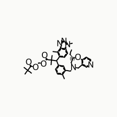 CC[C@@H]1CN(Cc2cc(C(c3ccc4c(nnn4C)c3C)C(C)(C)C(=O)OCOC(=O)C(C)(C)C)ccc2C)Cc2cnccc2O1